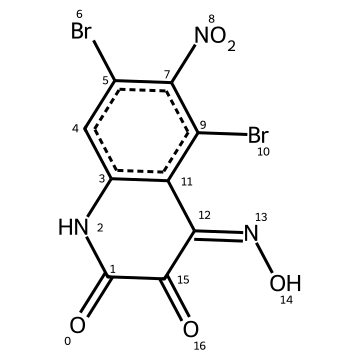 O=C1Nc2cc(Br)c([N+](=O)[O-])c(Br)c2/C(=N/O)C1=O